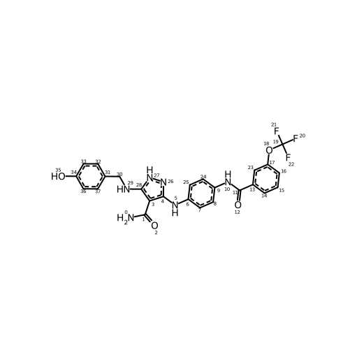 NC(=O)c1c(Nc2ccc(NC(=O)c3cccc(OC(F)(F)F)c3)cc2)n[nH]c1NCc1ccc(O)cc1